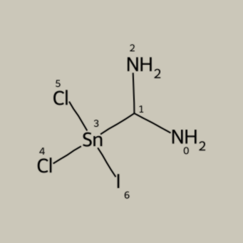 N[CH](N)[Sn]([Cl])([Cl])[I]